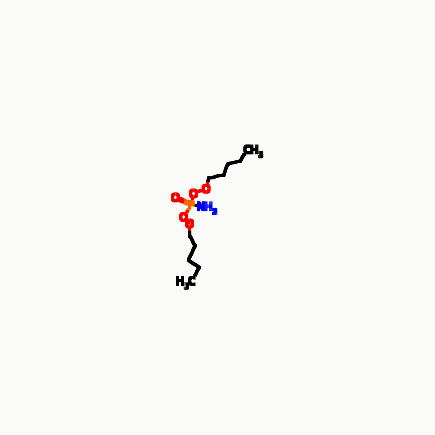 CCCCCOOP(N)(=O)OOCCCCC